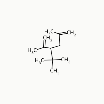 C=C(C)CC(C(=C)C)C(C)(C)C